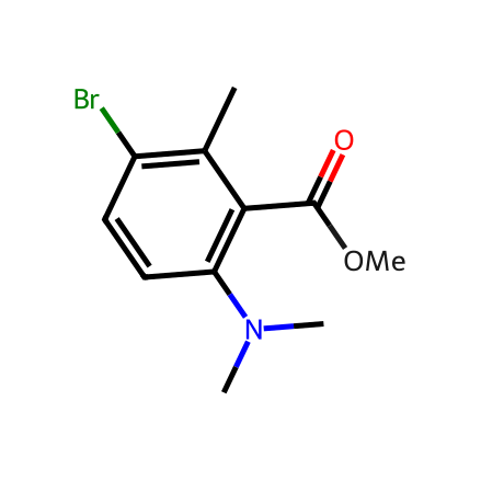 COC(=O)c1c(N(C)C)ccc(Br)c1C